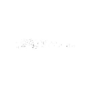 CCCCCCCCCCCCCCCCCCNCC(COCCCCCCCCCC)OP(=O)([O-])OCC[N+](C)(C)C